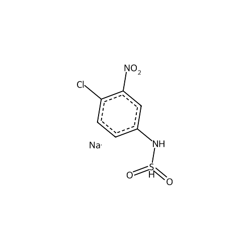 O=[N+]([O-])c1cc(N[SH](=O)=O)ccc1Cl.[Na]